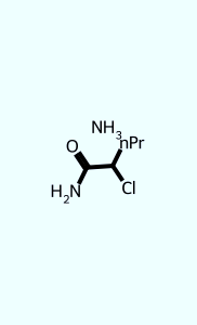 CCCC(Cl)C(N)=O.N